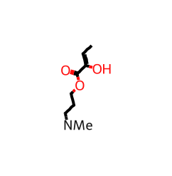 CC=C(O)C(=O)OCCCNC